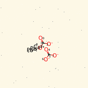 O=C([O-])[O-].O=C([O-])[O-].[Ca+2].[Pb+2].[Pd]